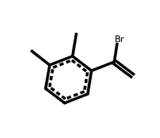 C=C(Br)c1cccc(C)c1C